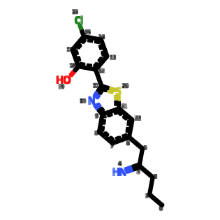 CCCC(=N)Cc1ccc2nc(-c3ccc(Cl)cc3O)sc2c1